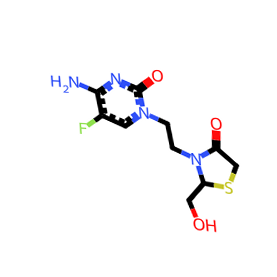 Nc1nc(=O)n(CCN2C(=O)CSC2CO)cc1F